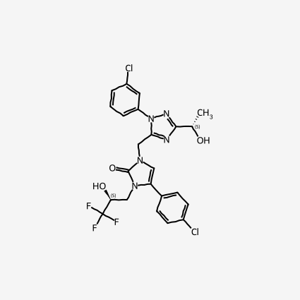 C[C@H](O)c1nc(Cn2cc(-c3ccc(Cl)cc3)n(C[C@H](O)C(F)(F)F)c2=O)n(-c2cccc(Cl)c2)n1